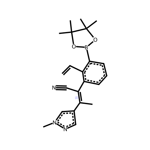 C=Cc1c(B2OC(C)(C)C(C)(C)O2)cccc1/C(C#N)=C(\C)c1cnn(C)c1